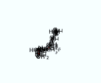 CC(C)C(CCC(C)(C)CNC(=O)CSCC(NC(=O)CCC(N)C(=O)O)C(=O)NCC(=O)O)C(=O)NCCOCCNC(=O)CCCC[C@H]1SC[C@H]2NC(=O)N[C@H]21